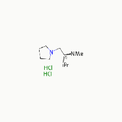 CN[C@H](CN1CCCC1)C(C)C.Cl.Cl